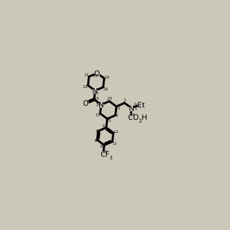 CCN(CC1CC(c2ccc(C(F)(F)F)cc2)CN(C(=O)N2CCOCC2)C1)C(=O)O